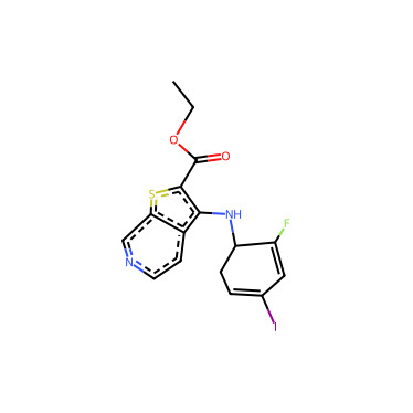 CCOC(=O)c1sc2cnccc2c1NC1CC=C(I)C=C1F